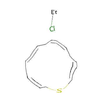 CCCl.c1ccccsccc1